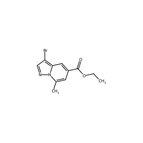 CCOC(=O)c1cc(C)n2ncc(Br)c2c1